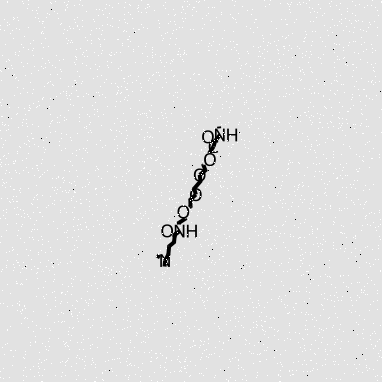 CNC(=O)CCOCCOCCOCCOCCNC(=O)CCCN(C)C